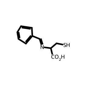 O=C(O)C(CS)N=Cc1ccccc1